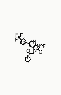 O=C(Cn1c(=O)n(CF)c2ncc(-c3ccc(C(F)(F)F)s3)cc21)N1CCCC1